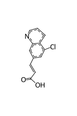 O=C(O)/C=C/c1cc(Cl)c2cccnc2c1